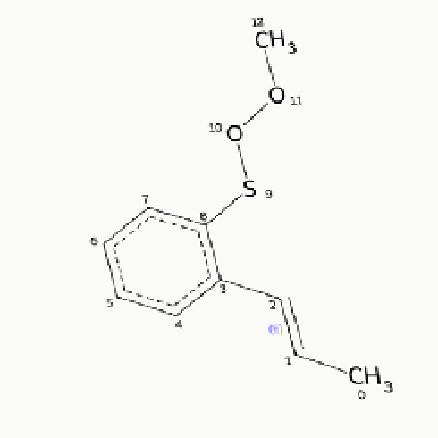 C/C=C/c1ccccc1SOOC